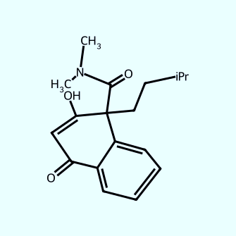 CC(C)CCC1(C(=O)N(C)C)C(O)=CC(=O)c2ccccc21